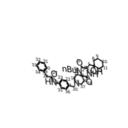 CCCCN1C(=O)[C@@H](CC2(O)CCCCC2)NC(=O)C12CCN(Cc1ccc(NC(=O)Cc3ccccc3)cc1)CC2